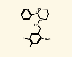 COc1cc(F)c(F)cc1CN[C@@H]1CCCN[C@@H]1c1ccccc1